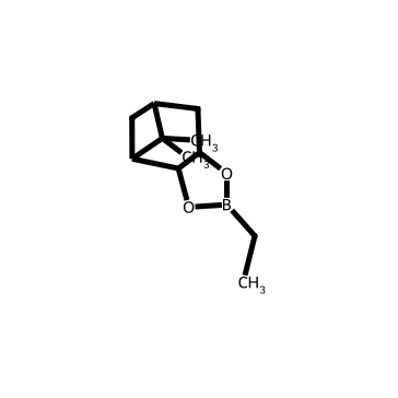 CCB1OC2CC3CC(C2O1)C3(C)C